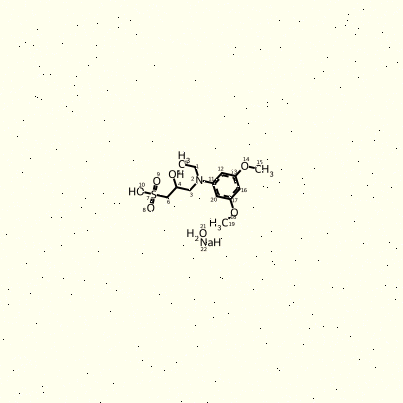 CCN(CC(O)CS(=O)(=O)O)c1cc(OC)cc(OC)c1.O.[NaH]